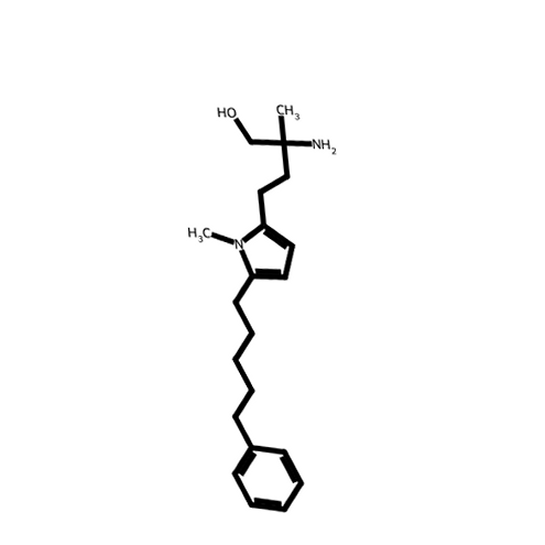 Cn1c(CCCCCc2ccccc2)ccc1CCC(C)(N)CO